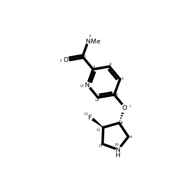 CNC(=O)c1ccc(O[C@@H]2CNC[C@H]2F)cn1